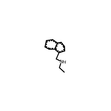 CCNCc1cccc2ccccc12